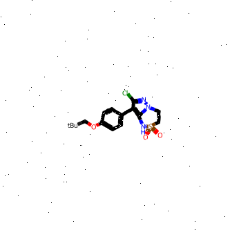 CC(C)(C)COc1ccc(-c2c(Cl)nn3c2NS(=O)(=O)CC3)cc1